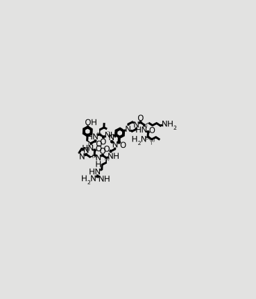 CC[C@H](C)[C@H](N)C(=O)N[C@@H](CCCCN)C(=O)N1CCN(c2ccc3ncn(CC(=O)N[C@@H](CCCNC(=N)N)C(=O)N[C@@H](CC4=NCC=N4)C(=O)N[C@@H](Cc4ccc(O)cc4)C(=O)N[C@@H](CC(C)C)C(=O)NC)c(=O)c3c2)CC1